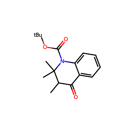 CC1C(=O)c2ccccc2N(C(=O)OC(C)(C)C)C1(C)C